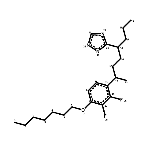 CCCCCCCOc1ccc(C(C)CCC(CCC)c2nncs2)c(F)c1F